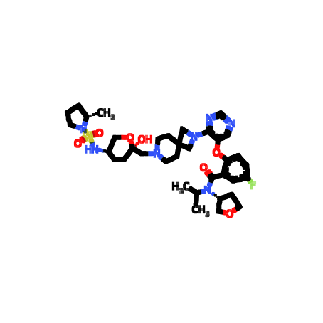 CC(C)N(C(=O)c1cc(F)ccc1Oc1cncnc1N1CC2(CCN(C[C@@]3(O)CC[C@@H](NS(=O)(=O)N4CCC[C@@H]4C)CO3)CC2)C1)[C@@H]1CCOC1